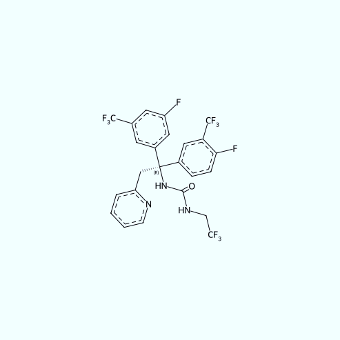 O=C(NCC(F)(F)F)N[C@@](Cc1ccccn1)(c1cc(F)cc(C(F)(F)F)c1)c1ccc(F)c(C(F)(F)F)c1